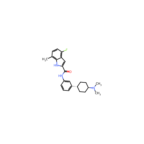 Cc1ccc(F)c2cc(C(=O)Nc3cccc([C@H]4CC[C@H](N(C)C)CC4)c3)[nH]c12